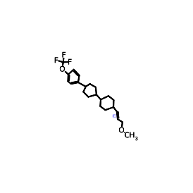 COC/C=C/C1CCC(C2CCC(c3ccc(OC(F)(F)F)cc3)CC2)CC1